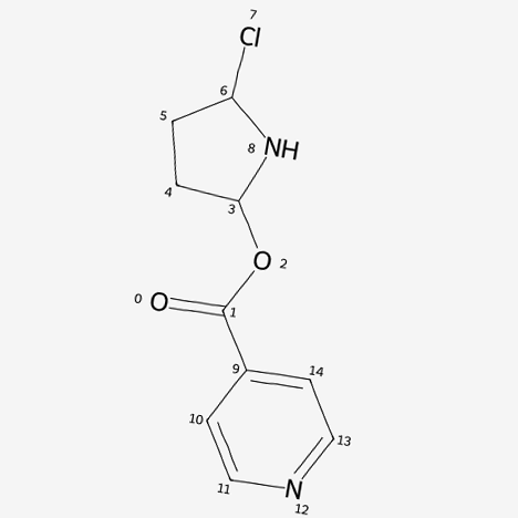 O=C(OC1CCC(Cl)N1)c1ccncc1